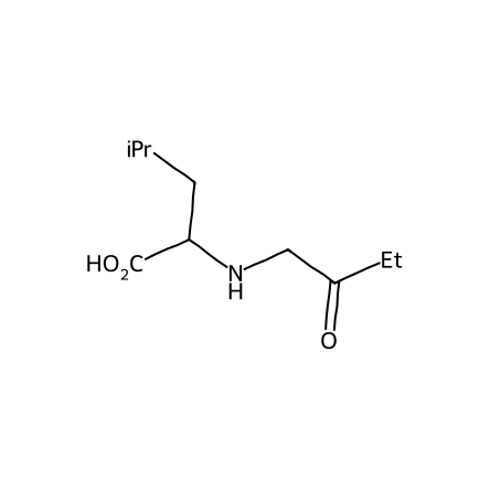 CCC(=O)CNC(CC(C)C)C(=O)O